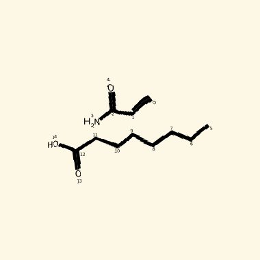 C=CC(N)=O.CCCCCCCC(=O)O